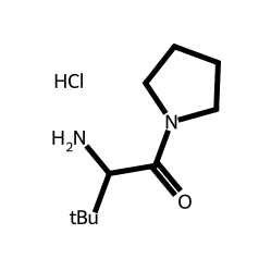 CC(C)(C)C(N)C(=O)N1CCCC1.Cl